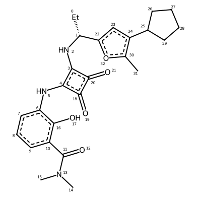 CC[C@@H](Nc1c(Nc2cccc(C(=O)N(C)C)c2O)c(=O)c1=O)c1cc(C2CCCC2)c(C)o1